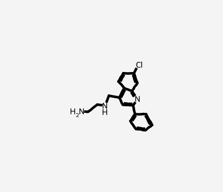 NCCNCc1cc(-c2ccccc2)nc2cc(Cl)ccc12